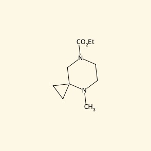 CCOC(=O)N1CCN(C)C2(CC2)C1